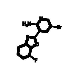 Nc1ncc(Br)cc1-c1nc2cccc(F)c2o1